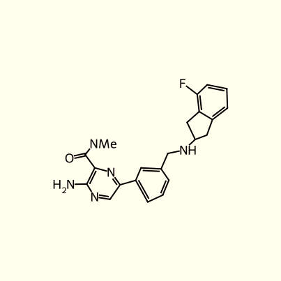 CNC(=O)c1nc(-c2cccc(CNC3Cc4cccc(F)c4C3)c2)cnc1N